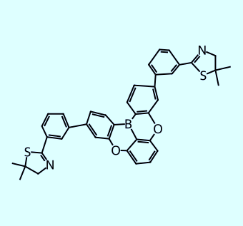 CC1(C)CN=C(c2cccc(-c3ccc4c(c3)Oc3cccc5c3B4c3ccc(-c4cccc(C6=NCC(C)(C)S6)c4)cc3O5)c2)S1